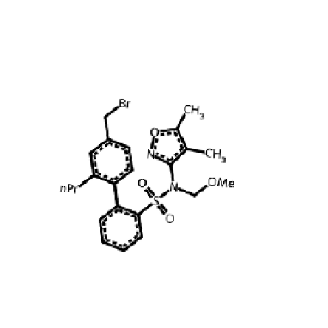 CCCc1cc(CBr)ccc1-c1ccccc1S(=O)(=O)N(COC)c1noc(C)c1C